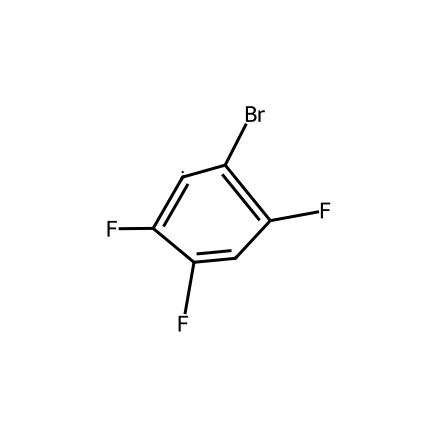 Fc1[c]c(Br)c(F)cc1F